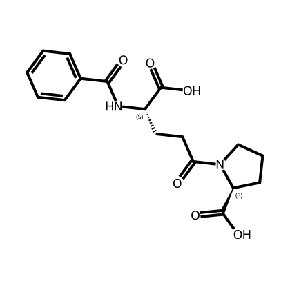 O=C(N[C@@H](CCC(=O)N1CCC[C@H]1C(=O)O)C(=O)O)c1ccccc1